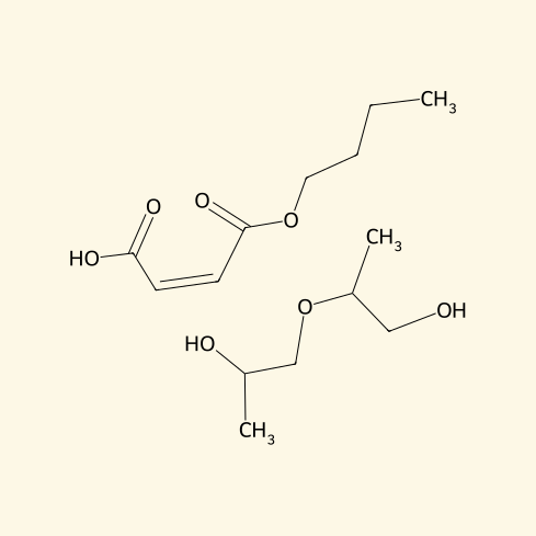 CC(O)COC(C)CO.CCCCOC(=O)/C=C\C(=O)O